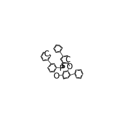 S=P12c3cc(-c4ccccc4)ccc3Oc3ccc(-c4ccccc4)c(c31)Oc1ccc(-c3ccccc3)cc12